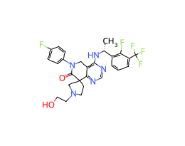 C[C@@H](Nc1ncnc2c1CN(c1ccc(F)cc1)C(=O)C21CCN(CCO)C1)c1cccc(C(F)(F)F)c1F